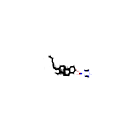 CC(C)CCC[C@@H](C)[C@H]1CC[C@H]2[C@@H]3CC=C4C[C@@H](OC(=O)N5CC[N]CC5)CC[C@]4(C)[C@H]3CC[C@]12C